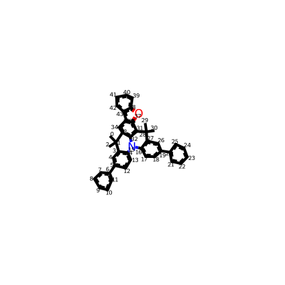 CC1(C)c2cc(-c3ccccc3)ccc2N2c3ccc(-c4ccccc4)cc3C(C)(C)c3c2c1cc1c3oc2ccccc21